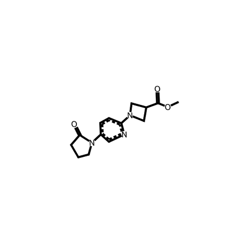 COC(=O)C1CN(c2ccc(N3CCCC3=O)cn2)C1